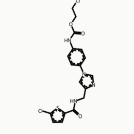 O=C(Nc1ccc(-n2cnc(CNC(=O)c3ccc(Cl)s3)c2)cc1)OCCCl